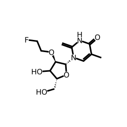 C=C1NC(=O)C(C)=CN1[C@@H]1O[C@H](CO)C(O)[C@H]1OCCF